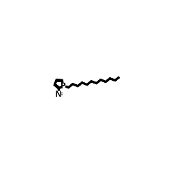 CCCCCCCCCCCCp1cccc1[N]